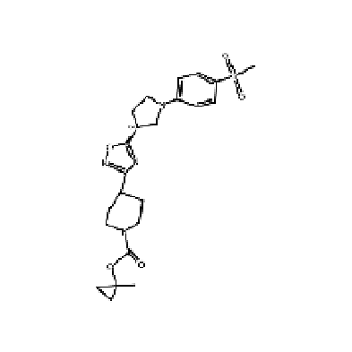 CC1(OC(=O)N2CCC(c3noc([C@H]4CCN(c5ccc(S(C)(=O)=O)cc5)C4)n3)CC2)CC1